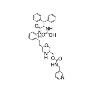 O=C(O)N[C@H](C(=O)Nc1ccccc1CC[C@@H]1CN[C@H](COC(=O)NCc2cccnc2)CO1)C(c1ccccc1)c1ccccc1